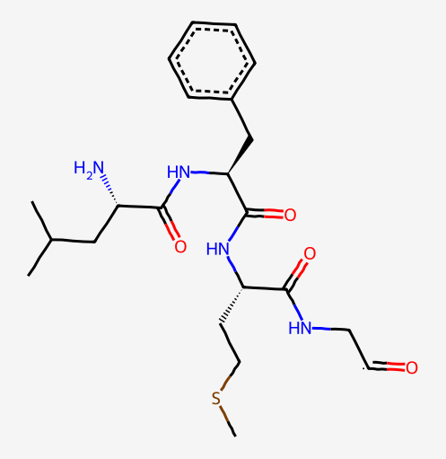 CSCC[C@H](NC(=O)[C@H](Cc1ccccc1)NC(=O)[C@@H](N)CC(C)C)C(=O)NC[C]=O